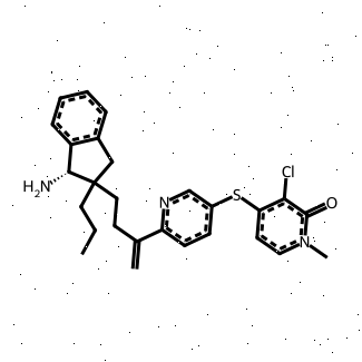 C=C(CCC1(CCC)Cc2ccccc2[C@H]1N)c1ccc(Sc2ccn(C)c(=O)c2Cl)cn1